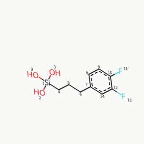 O[Si](O)(O)CCCc1ccc(F)c(F)c1